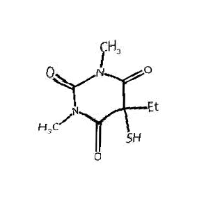 CCC1(S)C(=O)N(C)C(=O)N(C)C1=O